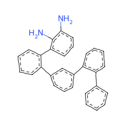 Nc1cccc(-c2ccccc2-c2cccc(-c3ccccc3-c3ccccc3)c2)c1N